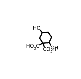 O=C(O)C1(C(=O)O)CC(O)CCC1O